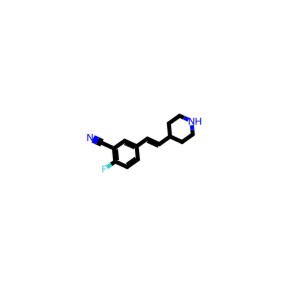 N#Cc1cc(/C=C/C2CCNCC2)ccc1F